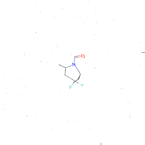 CC1CC(F)(F)CN1C=O